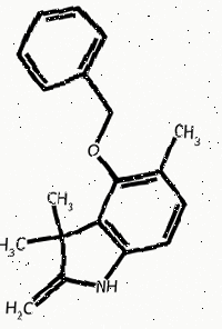 C=C1Nc2ccc(C)c(OCc3ccccc3)c2C1(C)C